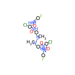 CN(CCCN(C)Cc1cccc(C(=O)Nc2ccc(Cl)cc2C(=O)N/N=C/c2ccc(F)cc2)c1)Cc1cccc(C(=O)Nc2ccc(Cl)cc2C(=O)N/N=C/c2ccc(F)cc2)c1